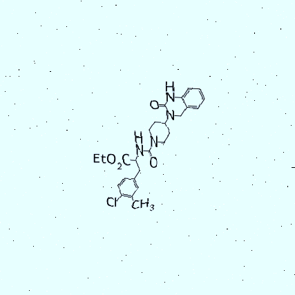 CCOC(=O)C(Cc1ccc(Cl)c(C)c1)NC(=O)N1CCC(N2Cc3ccccc3NC2=O)CC1